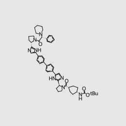 CC(C)(C)OC(=O)N[C@H]1CC[C@@H](C(=O)N2CCC[C@H]2c2ncc(-c3ccc(-c4ccc(-c5cnc([C@@H]6CCCN6C(=O)[C@@H](c6ccccc6)N6CCCCC6)[nH]5)cc4)cc3)[nH]2)CC1